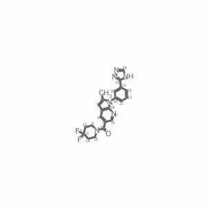 Cc1cc2cc(C(=O)N3CCC(F)(F)CC3)cnc2n1-c1cccc(-c2nnc[nH]2)c1